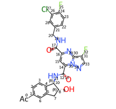 CC(=O)c1ccc2c(c1)C[C@@H](O)[C@@H]2NC(=O)c1cc(C(=O)NCc2ccc(F)c(Cl)c2)nc2c(F)cnn12